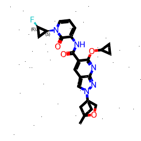 CC12CC(n3cc4cc(C(=O)Nc5cccn([C@H]6C[C@H]6F)c5=O)c(OC5CC5)nc4n3)(CO1)C2